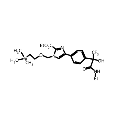 CCNC(=O)C(O)(c1ccc(-c2cn(COCC[Si](C)(C)C)c(C(=O)OCC)n2)cc1)C(F)(F)F